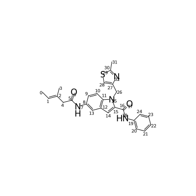 C/C=C(\C)CC(=O)Nc1ccc2c(c1)cc(C(=O)Nc1ccccc1)n2Cc1csc(C)n1